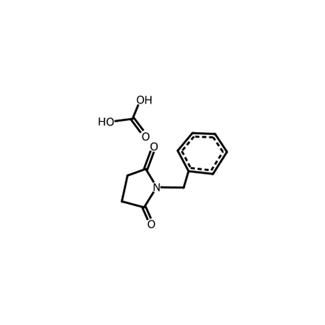 O=C(O)O.O=C1CCC(=O)N1Cc1ccccc1